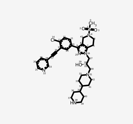 CS(=O)(=O)N1CCc2c(c(-c3ccc(Cl)c(C#Cc4cccnc4)c3)nn2C[C@@H](O)CN2CCC(C3CCNCC3)CC2)C1